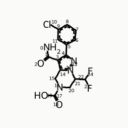 NC(=O)c1c(-c2cccc(Cl)c2)nn2c1CN(C(=O)O)CC2C(F)F